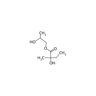 CCC(C)(O)C(=O)OCC(C)O